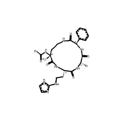 CC[C@@H]1NC(=O)[C@H](CCNc2ncc[nH]2)NC(=O)[C@](C)(NC(=O)C(C)C)CCNC(=O)[C@@H](c2ccccc2)NC1=O